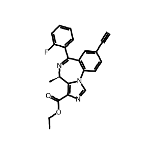 C#Cc1ccc2c(c1)C(c1ccccc1F)=N[C@H](C)c1c(C(=O)OCC)ncn1-2